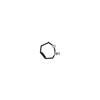 [CH]1CC=CCNO1